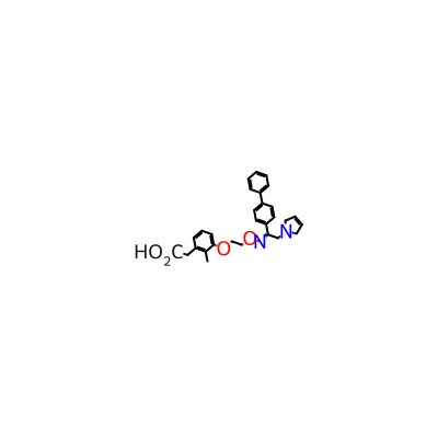 Cc1c(CC(=O)O)cccc1OCCON=C(CN1CC=CC1)c1ccc(-c2ccccc2)cc1